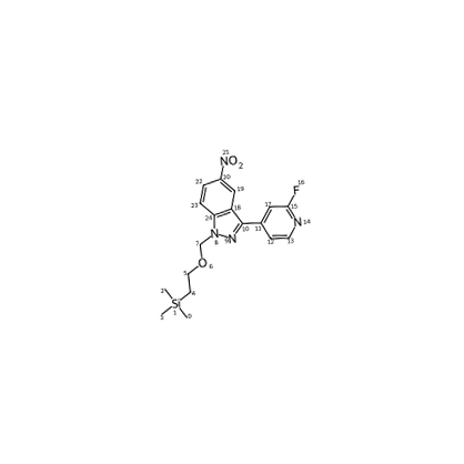 C[Si](C)(C)CCOCn1nc(-c2ccnc(F)c2)c2cc([N+](=O)[O-])ccc21